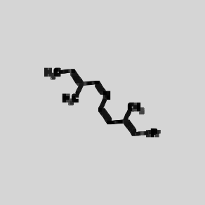 C/C=C(C)/C=N\C=C/C(C)=C/CCC